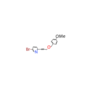 COc1ccc(COCC#Cc2ccc(Br)cn2)cc1